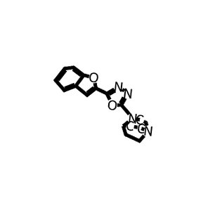 c1ccc2oc(-c3nnc(N4CCN5CCC4CC5)o3)cc2c1